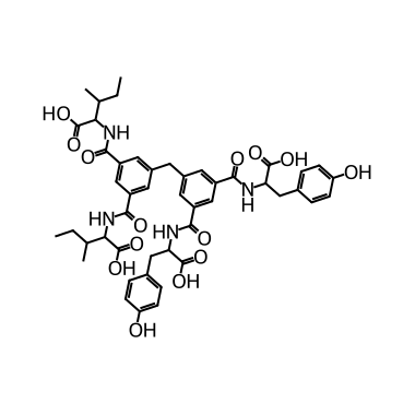 CCC(C)C(NC(=O)c1cc(Cc2cc(C(=O)NC(Cc3ccc(O)cc3)C(=O)O)cc(C(=O)NC(Cc3ccc(O)cc3)C(=O)O)c2)cc(C(=O)NC(C(=O)O)C(C)CC)c1)C(=O)O